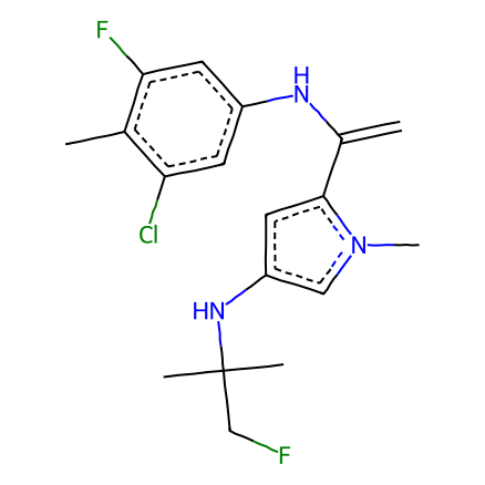 C=C(Nc1cc(F)c(C)c(Cl)c1)c1cc(NC(C)(C)CF)cn1C